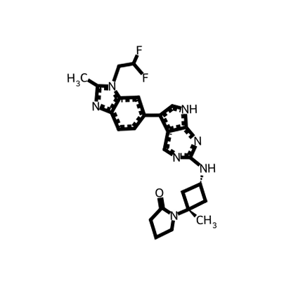 Cc1nc2ccc(-c3c[nH]c4nc(N[C@H]5C[C@@](C)(N6CCCC6=O)C5)ncc34)cc2n1CC(F)F